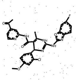 COc1ccc(C2N=C(Nc3nc4ccc(F)cc4o3)NC(C)=C2C(=O)Nc2cc(C(C)=O)ccn2)c(Cl)c1